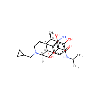 CC(C)NC(=O)C1=C(N)[C@H](C)[C@]23CCN(CC4CC4)[C@H](Cc4ccc(O)c(O)c42)[C@]3(O)C1